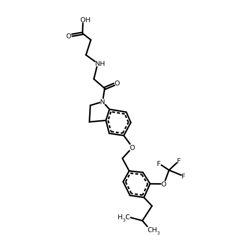 CC(C)Cc1ccc(COc2ccc3c(c2)CCN3C(=O)CNCCC(=O)O)cc1OC(F)(F)F